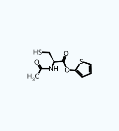 CC(=O)N[C@@H](CS)C(=O)Oc1cccs1